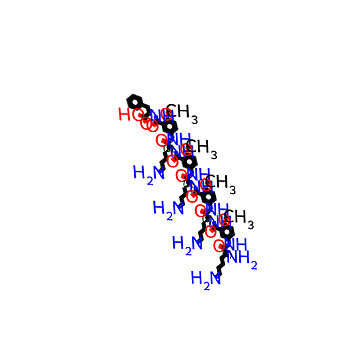 COc1ccc(NC(=O)[C@H](CCCCN)NC(=O)c2cc(NC(=O)[C@H](CCCCN)NC(=O)c3cc(NC(=O)[C@H](CCCCN)NC(=O)c4cc(NC(=O)[C@@H](N)CCCCN)ccc4OC)ccc3OC)ccc2OC)cc1C(=O)NC(Cc1ccccc1)C(=O)O